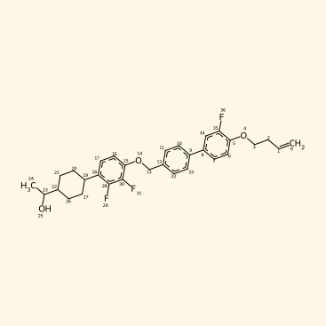 C=CCCOc1ccc(-c2ccc(COc3ccc(C4CCC(C(C)O)CC4)c(F)c3F)cc2)cc1F